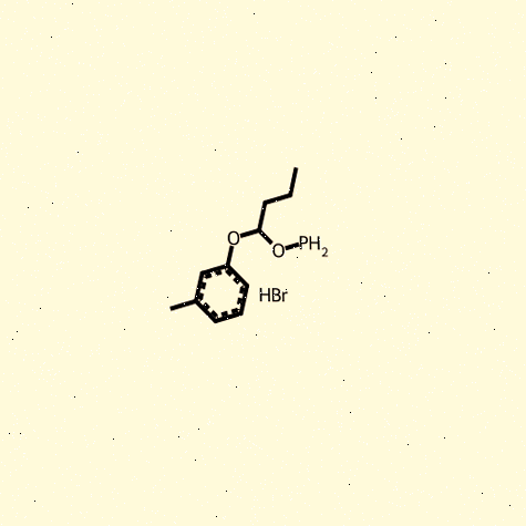 Br.CCCC(OP)Oc1cccc(C)c1